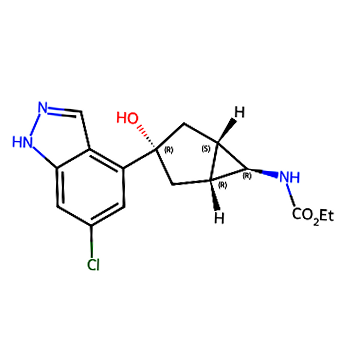 CCOC(=O)N[C@H]1[C@@H]2C[C@@](O)(c3cc(Cl)cc4[nH]ncc34)C[C@@H]21